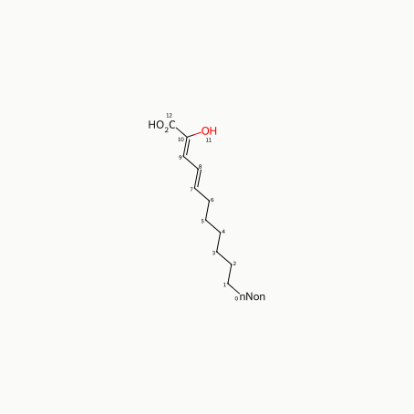 CCCCCCCCCCCCCCC/C=C/C=C(\O)C(=O)O